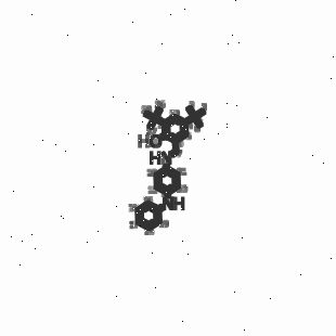 CC(C)(C)c1cc(CNc2ccc(Nc3ccccc3)cc2)c(O)c(C(C)(C)C)c1